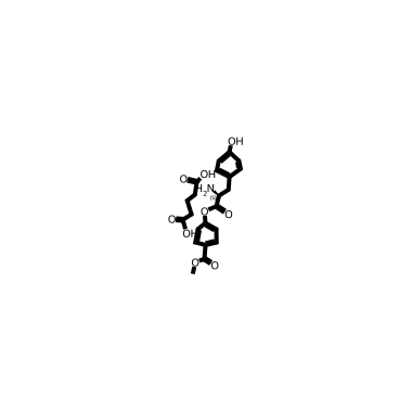 COC(=O)c1ccc(OC(=O)[C@@H](N)Cc2ccc(O)cc2)cc1.O=C(O)CCCC(=O)O